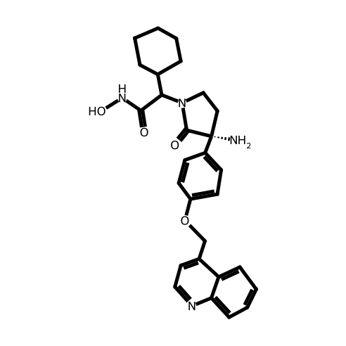 N[C@@]1(c2ccc(OCc3ccnc4ccccc34)cc2)CCN(C(C(=O)NO)C2CCCCC2)C1=O